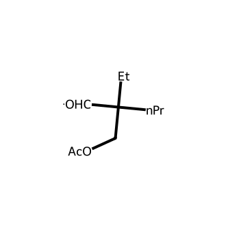 CCCC([C]=O)(CC)COC(C)=O